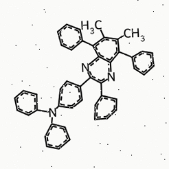 Cc1c(C)c(-c2ccccc2)c2nc(-c3ccc(N(c4ccccc4)c4ccccc4)cc3)c(-c3ccccc3)nc2c1-c1ccccc1